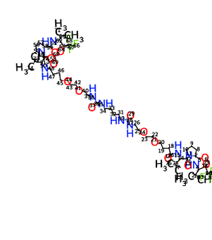 CC(C)C(NC(=O)C1CCCN1C(=O)[C@@H](NC(=O)CCCOCCOCCNC(=O)NCCCCNC(=O)NCCOCCOCCCC(=O)N[C@H](C(=O)N1CCC[C@H]1C(=O)NC(C(=O)C(F)(F)F)C(C)C)C(C)C)C(C)C)C(=O)C(F)(F)F